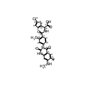 CNc1cc2[nH]c(=O)n(-c3ccc(C(=O)NC(C(=O)O)c4ccc(Cl)s4)c(C)c3)c(=O)c2cc1F